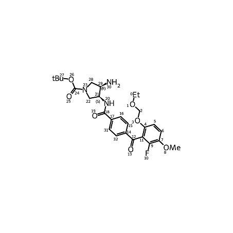 CCOCOc1ccc(OC)c(F)c1C(=O)c1ccc(C(=O)N[C@H]2CN(C(=O)OC(C)(C)C)C[C@H]2N)cc1